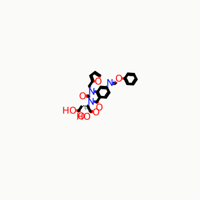 O=C(O)C[C@@H](C(=O)O)n1c(=O)c2ccc(/N=C/Oc3ccccc3)cc2n(Cc2ccco2)c1=O